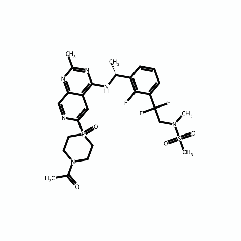 CC(=O)N1CCP(=O)(c2cc3c(N[C@H](C)c4cccc(C(F)(F)CN(C)S(C)(=O)=O)c4F)nc(C)nc3cn2)CC1